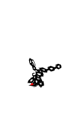 c1ccc(-c2ccc(-c3ccc(N(c4ccc5c(c4)oc4ccccc45)c4ccc5sc6c(c5c4)Sc4ccccc4C64c5ccccc5-c5ccccc54)cc3)cc2)cc1